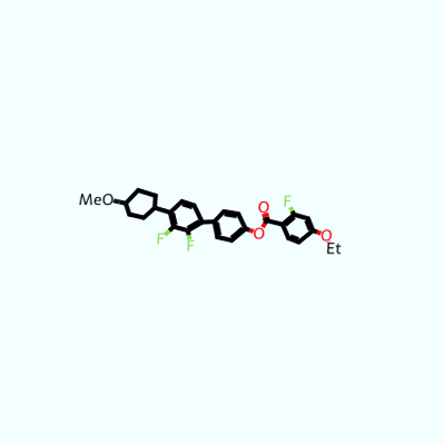 CCOc1ccc(C(=O)Oc2ccc(-c3ccc(C4CCC(OC)CC4)c(F)c3F)cc2)c(F)c1